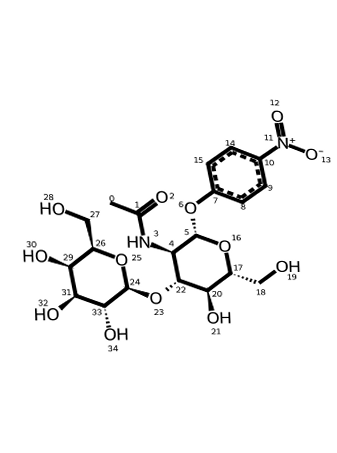 CC(=O)N[C@H]1[C@H](Oc2ccc([N+](=O)[O-])cc2)O[C@H](CO)[C@@H](O)[C@@H]1O[C@@H]1O[C@H](CO)[C@H](O)[C@H](O)[C@H]1O